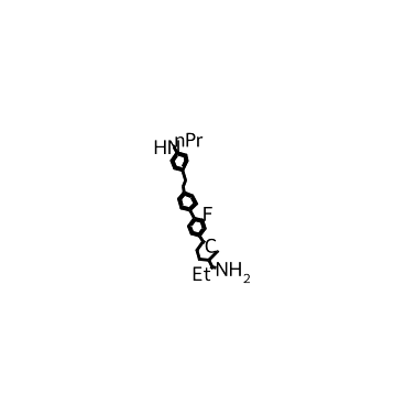 CCCNc1ccc(CCc2ccc(-c3ccc(C4CCC(C(N)CC)CC4)cc3F)cc2)cc1